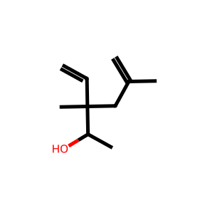 C=CC(C)(CC(=C)C)C(C)O